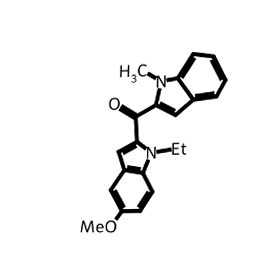 CCn1c(C(=O)c2cc3ccccc3n2C)cc2cc(OC)ccc21